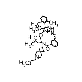 COCCN1CCC2(CC1)CC(N1C(=O)c3cccc(c3)SNc3nc(c(OC)c(-c4c(C)cccc4C)n3)OCC1CC(C)C)C2